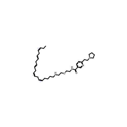 CC/C=C\CC=CCC=CC/C=C\C/C=C\CCCCNCCOCCNC(=O)c1ccc(CCN2CCCC2)nc1